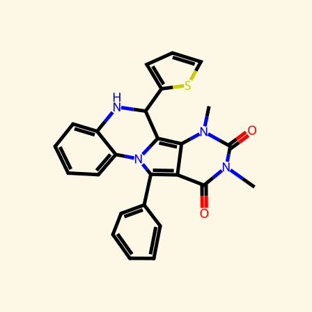 Cn1c(=O)c2c(-c3ccccc3)n3c(c2n(C)c1=O)C(c1cccs1)Nc1ccccc1-3